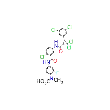 CN(C(=O)O)c1ccc(NC(=O)c2cc(NC(=O)C3C(c4cc(Cl)cc(Cl)c4)C3(Cl)Cl)ccc2Cl)cc1F